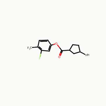 CCCC1CCC(C(=O)Oc2ccc(C(F)(F)F)c(F)c2)C1